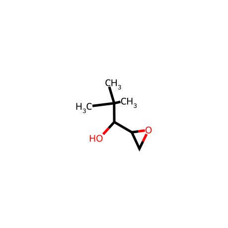 CC(C)(C)C(O)C1CO1